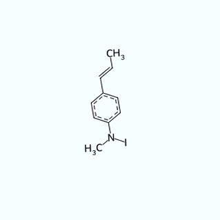 C/C=C/c1ccc(N(C)I)cc1